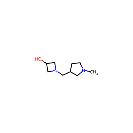 CN1CCC(CN2CC(O)C2)C1